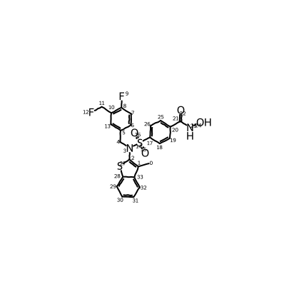 Cc1c(N(Cc2ccc(F)c(CF)c2)S(=O)(=O)c2ccc(C(=O)NO)cc2)sc2ccccc12